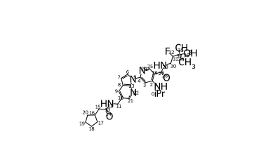 CC(C)Nc1cc(-n2ccc3cc(CNC(=O)CC4CCCC4)cnc32)ncc1C(=O)NCC(F)C(C)(C)O